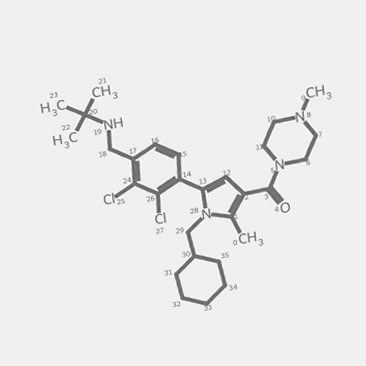 Cc1c(C(=O)N2CCN(C)CC2)cc(-c2ccc(CNC(C)(C)C)c(Cl)c2Cl)n1CC1CCCCC1